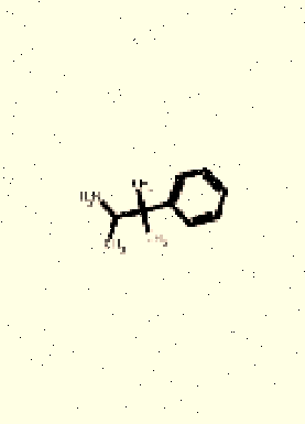 CC(N)C(C)(C)c1ccccc1